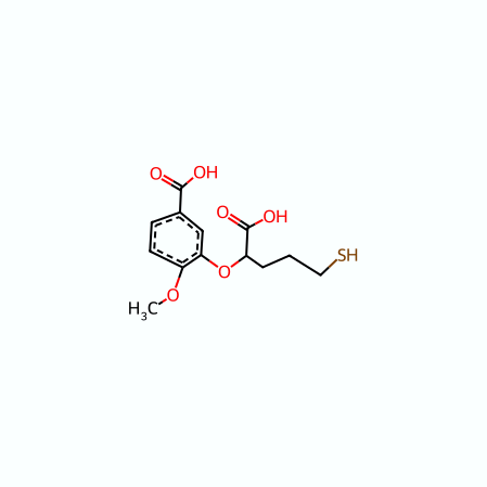 COc1ccc(C(=O)O)cc1OC(CCCS)C(=O)O